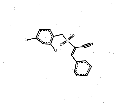 N#C/C(=C\c1ccccc1)S(=O)(=O)Cc1ccc(Cl)cc1Cl